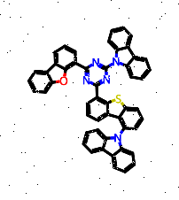 c1ccc2c(c1)oc1c(-c3nc(-c4cccc5c4sc4cccc(-n6c7ccccc7c7ccccc76)c45)nc(-n4c5ccccc5c5ccccc54)n3)cccc12